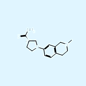 CN1CCc2ccc(N3CC[C@@H](C(N)=O)C3)cc2C1